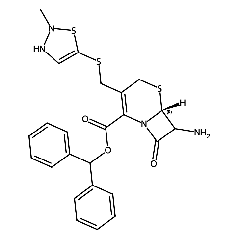 CN1NC=C(SCC2=C(C(=O)OC(c3ccccc3)c3ccccc3)N3C(=O)C(N)[C@H]3SC2)S1